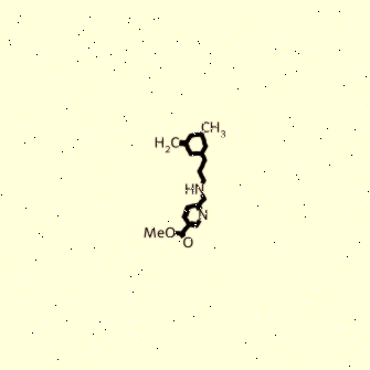 C=C1CC(C)CC(CCCNCc2ccc(C(=O)OC)cn2)C1